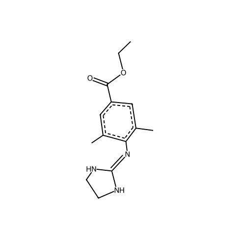 CCOC(=O)c1cc(C)c(N=C2NCCN2)c(C)c1